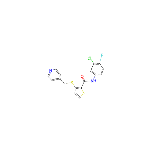 O=C(Nc1ccc(F)c(Cl)c1)c1sccc1SCc1ccncc1